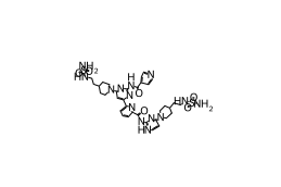 NS(=O)(=O)NCCC1CCN(c2cc(-c3cccc(C(=O)Nc4nccc(N5CCC(CCNS(N)(=O)=O)CC5)n4)n3)nc(NC(=O)c3ccncc3)n2)CC1